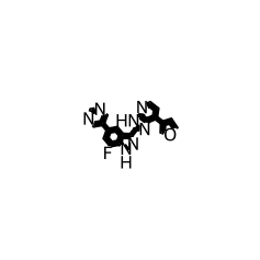 Fc1cc(-c2cncnc2)cc2c(-c3nc4c(-c5ccoc5)ccnc4[nH]3)n[nH]c12